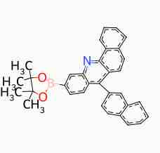 CC1(C)OB(c2ccc3c(-c4ccc5ccccc5c4)c4ccc5ccccc5c4nc3c2)OC1(C)C